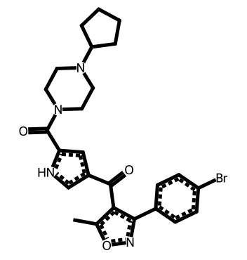 Cc1onc(-c2ccc(Br)cc2)c1C(=O)c1c[nH]c(C(=O)N2CCN(C3CCCC3)CC2)c1